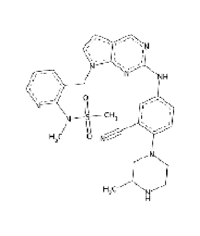 CC1CN(c2ccc(Nc3ncc4ccn(Cc5cccnc5N(C)S(C)(=O)=O)c4n3)cc2C#N)CCN1